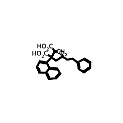 C=C(C(=O)O)C(CC(=O)CCc1ccccc1)(C(=O)O)c1cccc2ccccc12